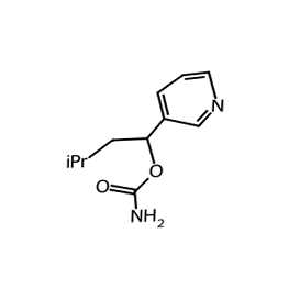 CC(C)CC(OC(N)=O)c1cccnc1